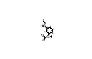 CCNc1cccc(NC(C)=O)c1